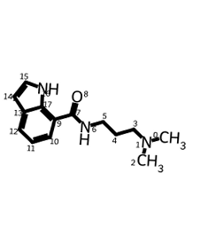 CN(C)CCCNC(=O)c1cccc2[c]c[nH]c12